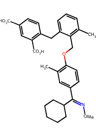 CON=C(c1ccc(OCc2c(C)cccc2Cc2ccc(C(=O)O)cc2C(=O)O)c(C)c1)C1CCCCC1